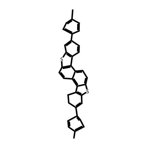 Cc1ccc(C2=Cc3sc4ccc5c(ccc6sc7cc(-c8ccc(C)cc8)ccc7c65)c4c3CC2)cc1